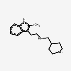 Cc1[nH]c2ccccc2c1CCNCC1CCNCC1